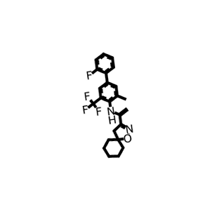 C=C(Nc1c(C)cc(-c2ccccc2F)cc1C(F)(F)F)C1=NOC2(CCCCC2)C1